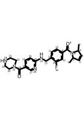 CC1C=CC(C)N1C(=O)c1ccc(CNc2ccc(C(=O)N3CCNCC3)cn2)c(F)c1